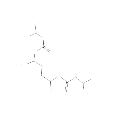 CC(C)NC(=O)SC(C)CCC(C)NC(=S)NC(C)C